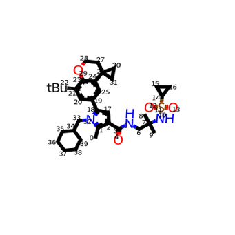 Cc1c(C(=O)NCC(C)(C)NS(=O)(=O)C2CC2)cc(-c2cc(C(C)(C)C)c3c(c2)C2(CCO3)CC2)n1CC1CCCCC1